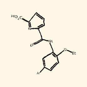 CCOc1ccc(C(C)=O)cc1NC(=O)c1cccc(C(=O)O)n1